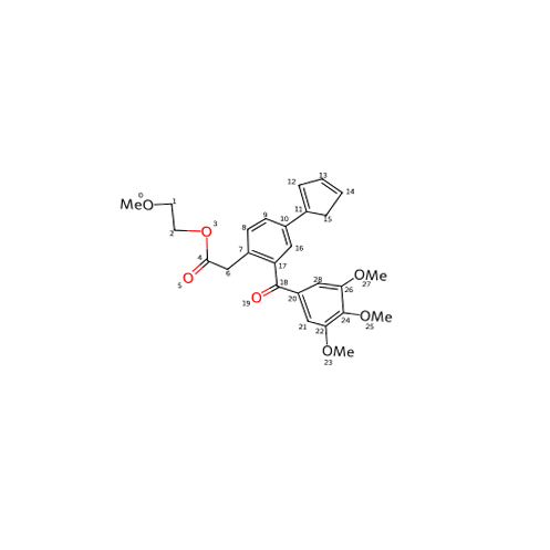 COCCOC(=O)Cc1ccc(C2=CC=CC2)cc1C(=O)c1cc(OC)c(OC)c(OC)c1